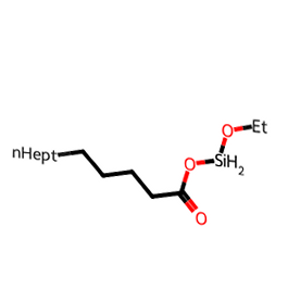 CCCCCCCCCCCC(=O)O[SiH2]OCC